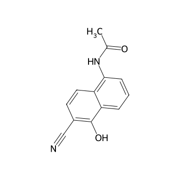 CC(=O)Nc1cccc2c(O)c(C#N)ccc12